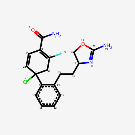 NC(=O)C1=C(F)CC(Cl)(c2ccccc2CCC2COC(N)=N2)C=C1